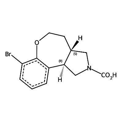 O=C(O)N1C[C@H]2CCOc3c(Br)cccc3[C@@H]2C1